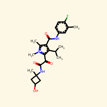 Cc1cc(NC(=O)c2c(C(C)C)c(C(=O)C(=O)NC3(C)CC(O)C3)n(C)c2C)ccc1F